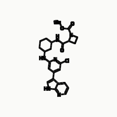 CC(C)(C)OC(=O)N1CCC1C(=O)NC1CCCC(Nc2cc(-c3c[nH]c4ncccc34)cc(Cl)n2)C1